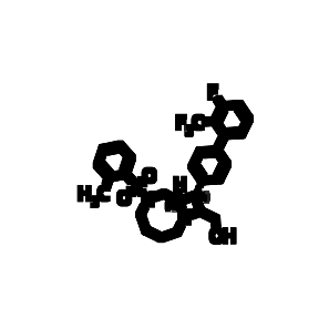 Cc1ccccc1S(=O)(=O)N1CCCCN2C(CO)[C@@H](c3ccc(-c4cccc(F)c4C(F)(F)F)cc3)[C@@H]2C1